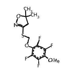 COc1c(F)c(F)c(OCSC2=NOC(C)(C)C2)c(F)c1F